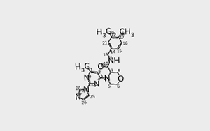 Cc1cc(N2CCOCC2C(=O)NCc2ccc(C)c(C)c2)nc(-n2ccnc2)n1